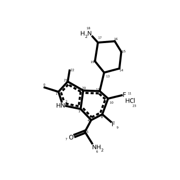 Cc1[nH]c2c(C(N)=O)c(F)c(F)c(C3CCCC(N)C3)c2c1C.Cl